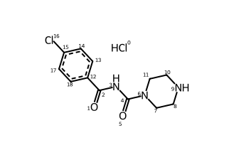 Cl.O=C(NC(=O)N1CCNCC1)c1ccc(Cl)cc1